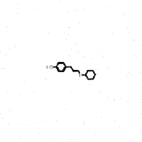 Oc1ccc(CCCOC2CCCCC2)cc1